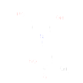 C=C(CCN(CCO)CCO)C(=O)O